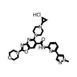 Cl.Cn1cc(-c2cccc(NC(=O)c3cc4oc(N5CCOCC5)nc4nc3N3CCN(C4CC4)CC3)n2)cn1